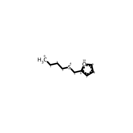 CCCCSCc1ccco1